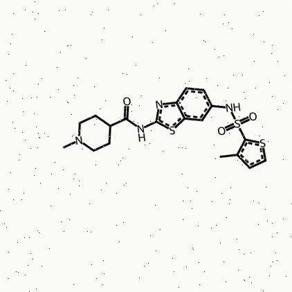 Cc1ccsc1S(=O)(=O)Nc1ccc2nc(NC(=O)C3CCN(C)CC3)sc2c1